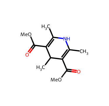 COC(=O)C1=C(C)NC(C)=C(C(=O)OC)C1C